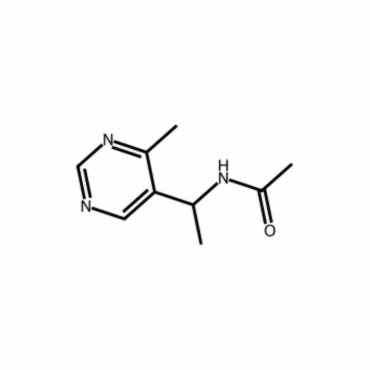 CC(=O)NC(C)c1cncnc1C